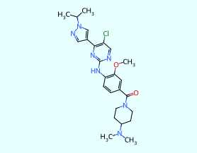 COc1cc(C(=O)N2CCC(N(C)C)CC2)ccc1Nc1ncc(Cl)c(-c2cnn(C(C)C)c2)n1